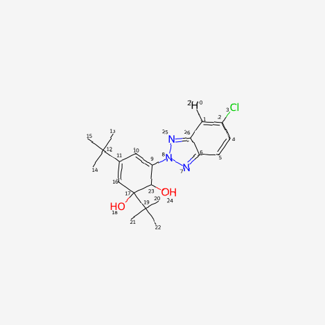 [2H]c1c(Cl)ccc2nn(C3=CC(C(C)(C)C)=CC(O)(C(C)(C)C)C3O)nc12